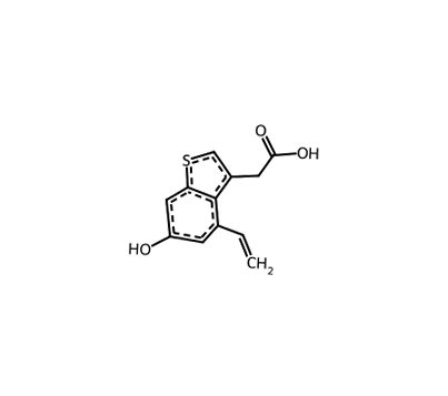 C=Cc1cc(O)cc2scc(CC(=O)O)c12